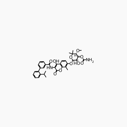 CO[C@@H]1[C@@H](OC(N)=O)[C@@H](O)[C@H](Oc2ccc3c(O)c(NC(=O)c4cccc(-c5ccccc5C(C)C)c4)c(=O)oc3c2C)OC1(C)C